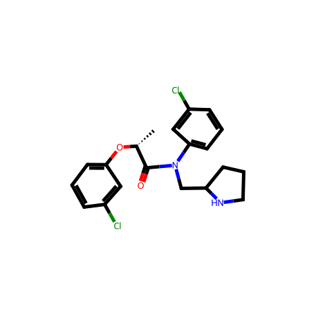 C[C@@H](Oc1cccc(Cl)c1)C(=O)N(CC1CCCN1)c1cccc(Cl)c1